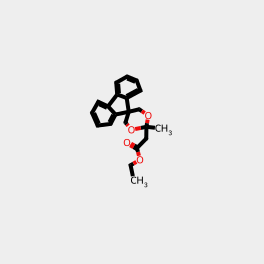 CCOC(=O)CC1(C)OCC2(CO1)c1ccccc1-c1ccccc12